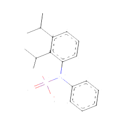 CC(C)c1cccc(N(c2ccccc2)P(=O)(O)O)c1C(C)C